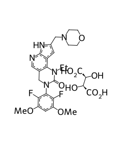 CCN1C(=O)N(c2c(F)c(OC)cc(OC)c2F)Cc2cnc3[nH]c(CN4CCOCC4)cc3c21.O=C(O)[C@@H](O)[C@H](O)C(=O)O